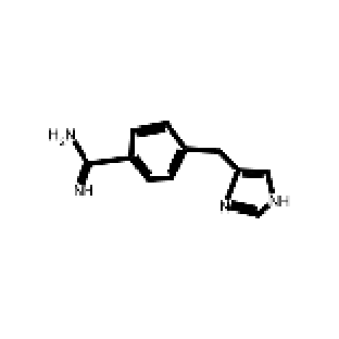 N=C(N)c1ccc(Cc2c[nH]cn2)cc1